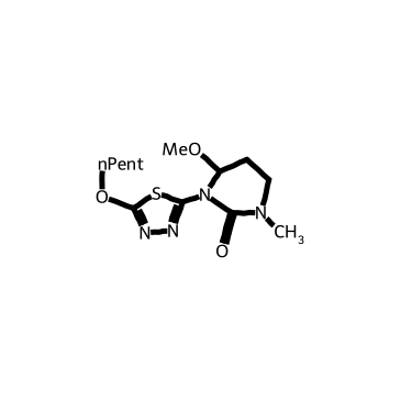 CCCCCOc1nnc(N2C(=O)N(C)CCC2OC)s1